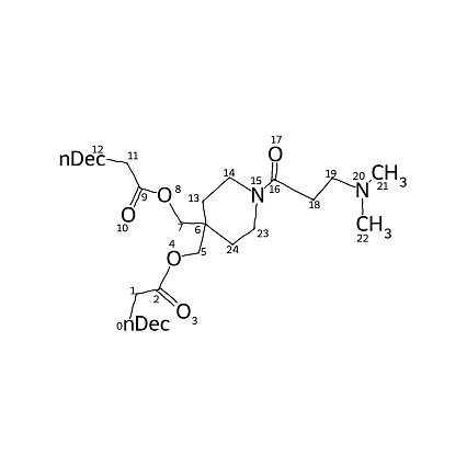 CCCCCCCCCCCC(=O)OCC1(COC(=O)CCCCCCCCCCC)CCN(C(=O)CCN(C)C)CC1